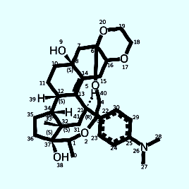 CC1OCCOC23C[C@@]4(O)CC[C@@H]5C(=C4CC2OCCO3)[C@@H](c2ccc(N(C)C)cc2)C[C@@]2(C)[C@@H]5CC[C@@]12O